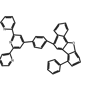 c1ccc(-c2cccc3oc4c5ccccc5c(-c5ccc(-c6cc(-c7ccccn7)nc(-c7ccccn7)c6)cc5)cc4c23)cc1